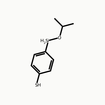 CC(C)O[SiH2]c1ccc(S)cc1